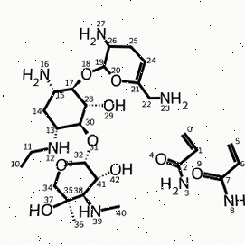 C=CC(N)=O.C=CC(N)=O.CCN[C@@H]1C[C@H](N)[C@@H](OC2OC(CN)=CCC2N)[C@H](O)[C@H]1O[C@H]1OC[C@](C)(O)[C@H](NC)[C@H]1O